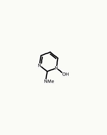 CNC1N=CC=CN1O